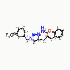 NC(=O)C(=Cc1ccccc1)Cc1cn(Cc2cccc(C(F)(F)F)c2)nn1